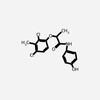 Cc1c(Cl)ccc(OC(C)C(=O)Nc2ccc(O)cc2)c1Cl